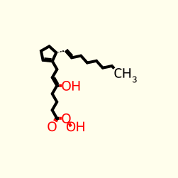 CCCCCC/C=C/[C@H]1CCC=C1C/C=C(\O)CCCC(=O)OO